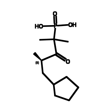 C[C@H](CC1CCCC1)C(=O)C(C)(C)P(=O)(O)O